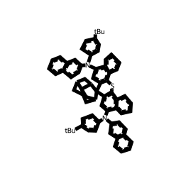 CC(C)(C)c1ccc(N(c2ccc3ccccc3c2)c2cc3c(c4ccccc24)Sc2c(cc(N(c4ccc(C(C)(C)C)cc4)c4ccc5ccccc5c4)c4ccccc24)C32C3CC4CC(C3)CC2C4)cc1